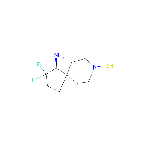 N[C@@H]1C(F)(F)CCC12CCN(S)CC2